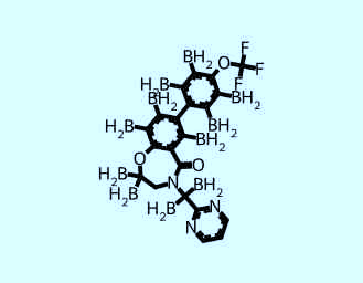 Bc1c(B)c(-c2c(B)c(B)c3c(c2B)C(=O)N(C(B)(B)c2ncccn2)CC(B)(B)O3)c(B)c(B)c1OC(F)(F)F